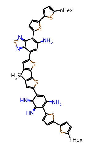 CCCCCCc1ccc(-c2ccc(C3=C(N)C=C(c4cc5c(s4)-c4sc(-c6cc(N)c(-c7ccc(-c8ccc(CCCCCC)s8)s7)c7nsnc67)cc4[SiH2]5)C(=N)C3=N)s2)s1